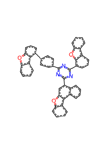 c1ccc2c(c1)oc1c(-c3nc(-c4ccc(-c5cccc6oc7ccccc7c56)cc4)nc(-c4cc5oc6ccccc6c5c5ccccc45)n3)cccc12